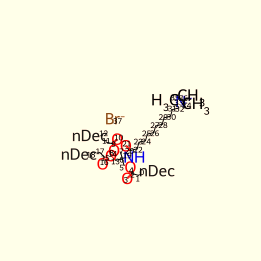 CCCCCCCCCCCC(=O)OCC(COC(=O)CCCCCCCCCCC)(COC(=O)CCCCCCCCCCC)NC(=O)CCCCCCCCCCC[N+](C)(C)C.[Br-]